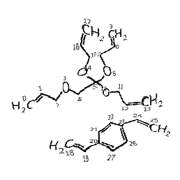 C=CCOCC(OCC=C)(OCC=C)OCC=C.C=Cc1ccc(C=C)cc1